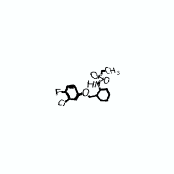 CCS(=O)(=O)NC1CCCCC1COc1ccc(F)c(Cl)c1